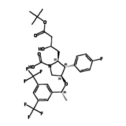 C[C@@H](O[C@H]1CN(C(=O)O)[C@@H](CC(O)CC(=O)OC(C)(C)C)[C@@H]1c1ccc(F)cc1)c1cc(C(F)(F)F)cc(C(F)(F)F)c1